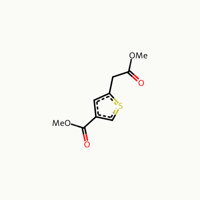 COC(=O)Cc1cc(C(=O)OC)cs1